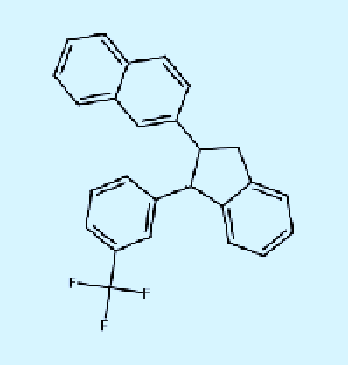 FC(F)(F)c1cccc([C]2c3ccccc3CC2c2ccc3ccccc3c2)c1